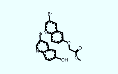 COC(=O)COc1ccc2ncc(Br)cc2c1.Oc1ccc2ncc(Br)cc2c1